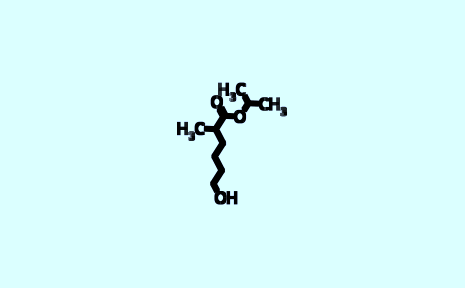 CC(C)OC(=O)C(C)CCCCO